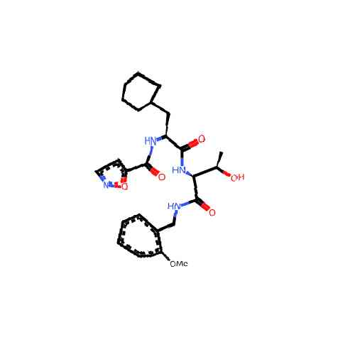 COc1ccccc1CNC(=O)[C@@H](NC(=O)[C@H](CC1CCCCC1)NC(=O)c1ccno1)[C@@H](C)O